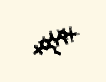 CCSc1cc(C(F)(F)F)cnc1C(=O)N(C)c1nnc(C(F)(F)F)n1C